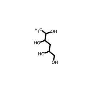 CC(O)[C](O)CC(O)CO